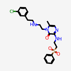 Cc1cnc(NCCS(=O)(=O)c2ccccc2)c(=O)n1CCNCCc1cccc(Cl)c1